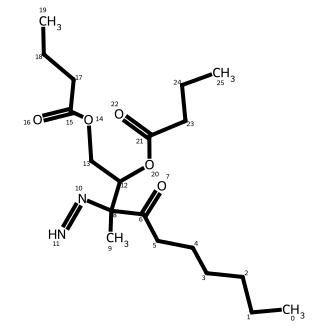 CCCCCCC(=O)C(C)(N=N)C(COC(=O)CCC)OC(=O)CCC